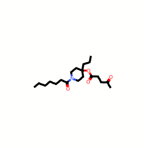 CCCCCCC(=O)N1CCC(CCC)(OC(=O)CCC(C)=O)CC1